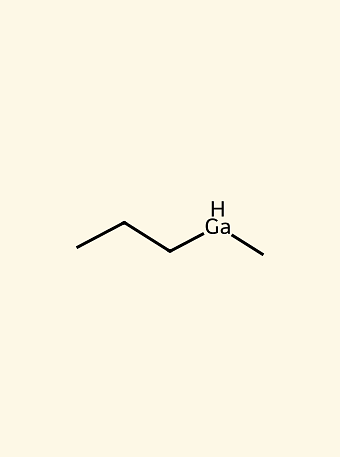 CC[CH2][GaH][CH3]